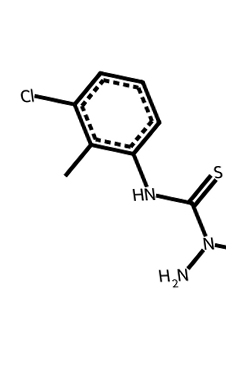 Cc1c(Cl)cccc1NC(=S)N(C)N